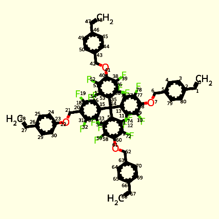 C=Cc1ccc(COc2c(F)c(F)c(C(c3c(F)c(F)c(COc4ccc(C=C)cc4)c(F)c3F)(c3c(F)c(F)c(OCc4ccc(C=C)cc4)c(F)c3F)c3c(F)c(F)c(OCc4ccc(C=C)cc4)c(F)c3F)c(F)c2F)cc1